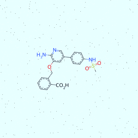 CS(=O)(=O)Nc1ccc(-c2cnc(N)c(OCc3ccccc3C(=O)O)c2)cc1